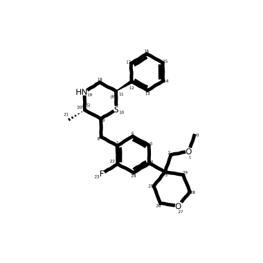 COCC1(c2ccc(CC3S[C@H](c4ccccc4)CN[C@H]3C)c(F)c2)CCOCC1